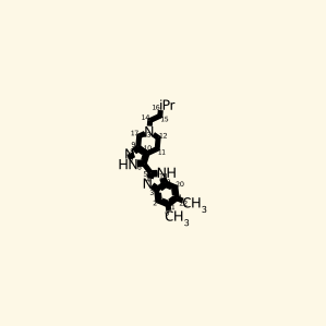 Cc1cc2nc(-c3[nH]nc4c3CCN(CCC(C)C)C4)[nH]c2cc1C